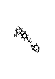 N#CC1(c2ccc(OCCCN3CCCOCC3)cc2)CCOCC1